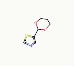 c1ncc(C2OCCCO2)s1